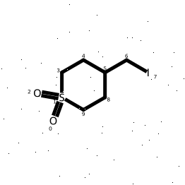 O=S1(=O)CCC(CI)CC1